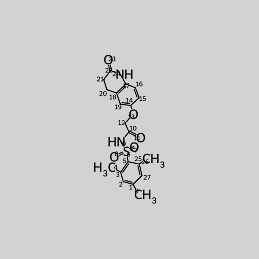 Cc1cc(C)c(S(=O)(=O)NC(=O)COc2ccc3c(c2)CCC(=O)N3)c(C)c1